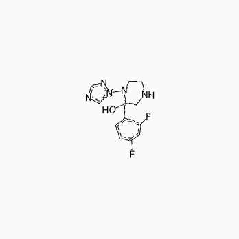 OC1(c2ccc(F)cc2F)CNCCN1n1cncn1